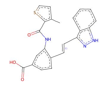 Cc1ccsc1C(=O)Nc1cc(C(=O)O)ccc1/C=C/c1n[nH]c2ccccc12